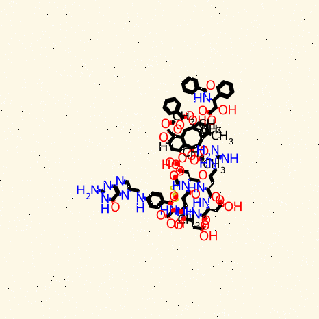 CC(=O)O[C@H]1C(=O)[C@@]2(C)C([C@H](OC(=O)c3ccccc3)[C@]3(O)C[C@H](OC(=O)[C@H](O)[C@@H](NC(=O)c4ccccc4)c4ccccc4)C(C)=C1C3(C)C)[C@]1(OC(C)=O)CO[C@@H]1C[C@@H]2OC(=O)OCCSSC[C@H](NC(=O)[C@H](CC(=O)O)NC(=O)[C@H](CC(=O)O)NC(=O)[C@H](CCCNC(=N)N)NC(=O)[C@H](CC(=O)O)NC(=O)CC[C@@H](C)NC(=O)c1ccc(NCc2cnc3nc(N)[nH]c(=O)c3n2)cc1)C(=O)O